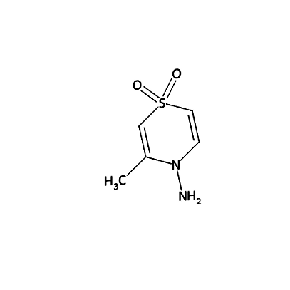 CC1=CS(=O)(=O)C=CN1N